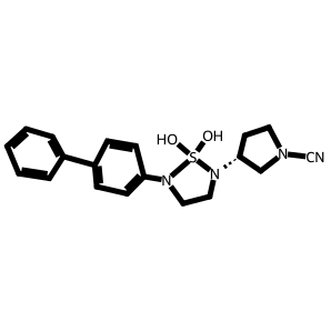 N#CN1CC[C@@H](N2CCN(c3ccc(-c4ccccc4)cc3)S2(O)O)C1